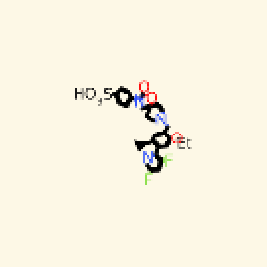 CCOc1cc(-c2ncc(F)cc2F)c(C2CC2)cc1CN1CCC2(CC1)CN(c1ccc(S(=O)(=O)O)cc1)C(=O)O2